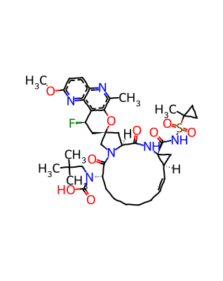 COc1ccc2nc(C)c3c(c2n1)[C@H](F)C[C@]1(C[C@H]2C(=O)N[C@]4(C(=O)NS(=O)(=O)C5(C)CC5)C[C@H]4/C=C\CCCCC[C@H](N(CC(C)(C)C)C(=O)O)C(=O)N2C1)O3